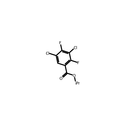 CC(C)OC(=O)c1cc(Cl)c(F)c(Cl)c1F